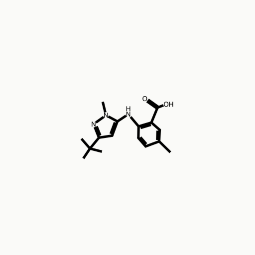 Cc1ccc(Nc2cc(C(C)(C)C)nn2C)c(C(=O)O)c1